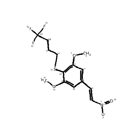 COc1cc(C=C[N+](=O)[O-])cc(OC)c1SCCCC(F)(F)F